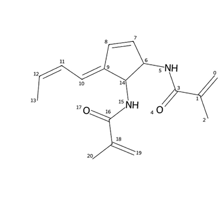 C=C(C)C(=O)NC1C=C/C(=C\C=C/C)C1NC(=O)C(=C)C